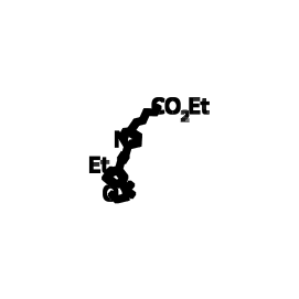 CCOC(=O)CCCCc1ccc(C#Cc2cc3c(cc2CC)OCCC3(C)C)nc1